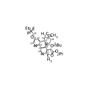 CCCCO[C@H](C(=O)OC(C)C)c1c(C)ncc(-c2ccc(OCC(F)(F)CC)cn2)c1N1CCC(C)(C)CC1